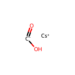 O=[C-]O.[Cs+]